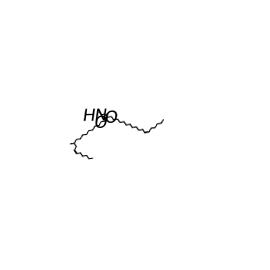 CCCCC/C=C\CCCCCCCCCCOC(CNC)COCCCCCCCCC(C)C/C=C\CCCCC